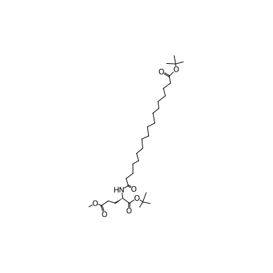 COC(=O)CC[C@@H](NC(=O)CCCCCCCCCCCCCCCCC(=O)OC(C)(C)C)C(=O)OC(C)(C)C